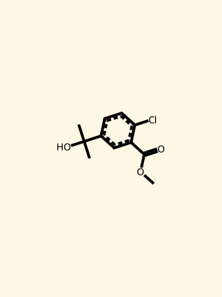 COC(=O)c1cc(C(C)(C)O)ccc1Cl